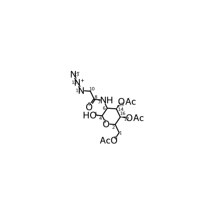 CC(=O)OCC1OC(O)C(NC(=O)CN=[N+]=[N-])[C@@H](OC(C)=O)[C@H]1OC(C)=O